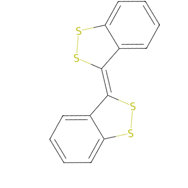 c1ccc2c(c1)SSC2=C1SSc2ccccc21